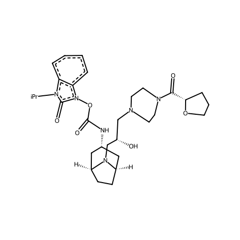 CC(C)n1c(=O)n(OC(=O)N[C@@H]2C[C@H]3CC[C@@H](C2)N3C[C@@H](O)CN2CCN(C(=O)[C@@H]3CCCO3)CC2)c2ccccc21